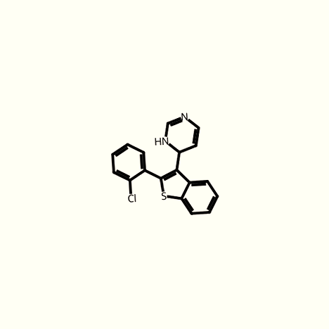 Clc1ccccc1-c1sc2ccccc2c1C1C=CN=CN1